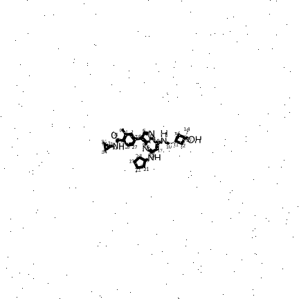 Cc1cc(-c2cnn3c(NC[C@H]4C[C@](C)(O)C4)cc(NC4CCCC4)nc23)ccc1C(=O)NC1CC1